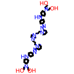 OCCN(CCO)c1ccc(Nc2ccc(/N=N/c3cccc[n+]3CCCn3cc[n+](CCC[n+]4ccccc4/N=N/c4ccc(Nc5ccc(N(CCO)CCO)cc5)cc4)c3)cc2)cc1